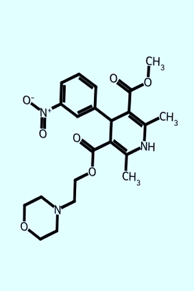 COC(=O)C1=C(C)NC(C)=C(C(=O)OCCN2CCOCC2)C1c1cccc([N+](=O)[O-])c1